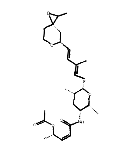 CC(=O)O[C@@H](C)/C=C\C(=O)N[C@@H]1C[C@H](C)[C@H](C/C=C(C)/C=C/[C@@H]2C[C@]3(CCO2)OC3C)O[C@@H]1C